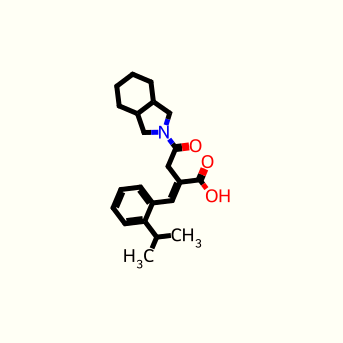 CC(C)c1ccccc1C=C(CC(=O)N1CC2CCCCC2C1)C(=O)O